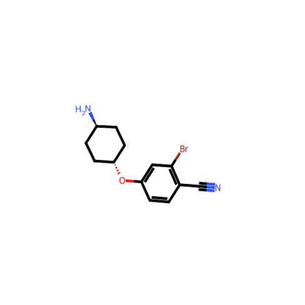 N#Cc1ccc(O[C@H]2CC[C@H](N)CC2)cc1Br